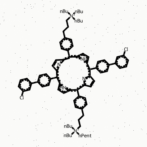 CCCCC[N+](CCCC)(CCCC)CCCc1ccc(-c2c3nc(c(-c4ccc(-c5cccc(Cl)c5)cc4)c4ccc([nH]4)c(-c4ccc(CCC[N+](CCCC)(CCCC)CCCC)cc4)c4nc(c(-c5ccc(-c6cccc(Cl)c6)cc5)c5ccc2[nH]5)C=C4)C=C3)cc1